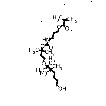 C=C(C)C(=O)OCCCNC(=O)OC(C)(C)CCOC(C)(C)C(C)(C)CCCCO